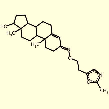 Cc1ncc(CCON=C2C=C3CCC4C(CCC5(C)C(O)CCC45)C3(C)CC2)o1